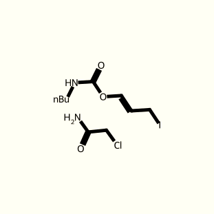 CCCCNC(=O)OC=CCI.NC(=O)CCl